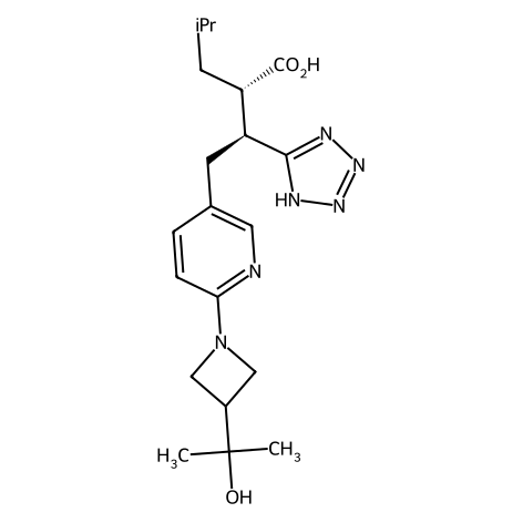 CC(C)C[C@H](C(=O)O)[C@H](Cc1ccc(N2CC(C(C)(C)O)C2)nc1)c1nnn[nH]1